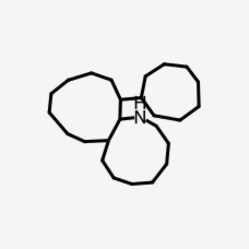 C1CCCC(C2CCCCCCCC3CCCCCCCNC32)CCC1